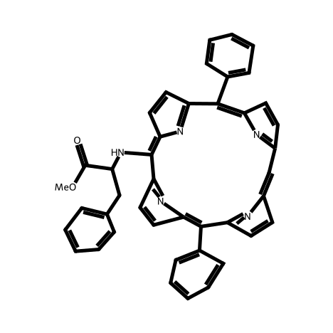 COC(=O)C(Cc1ccccc1)NC1=C2C=CC(=N2)C(c2ccccc2)=C2C=CC(=N2)C=C2C=CC(=N2)C(c2ccccc2)=C2C=CC1=N2